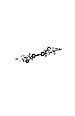 COC(=O)N[C@H](C(=O)N1CCCC1c1nc2cc(C#Cc3ccc4[nH]c([C@@H]5CCCN5C(=O)[C@H](C(C)C)N(C)C(=O)O)nc4c3)ccc2[nH]1)C(C)C